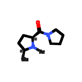 CC(=O)N1[C@H](C(=O)N2CCCC2)CC[C@@H]1C(C)(C)C